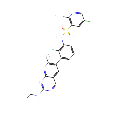 CNc1nc2nc(NCC(F)(F)F)ncc2cc1-c1cccc(NS(=O)(=O)c2cc(Cl)cnc2OC)c1F